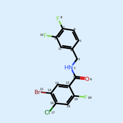 O=C(NCc1ccc(F)c(F)c1)c1cc(Br)c(Cl)cc1F